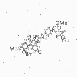 COC(=O)CN(CCN(C)C(=O)OC(C)(C)C)[C@H]1CC[C@H](CN(C)c2cnc(N3C(=O)Cc4cc(OC)c(OC(C)C)cc4[C@@H]3c3ccc(Cl)cc3)cn2)CC1